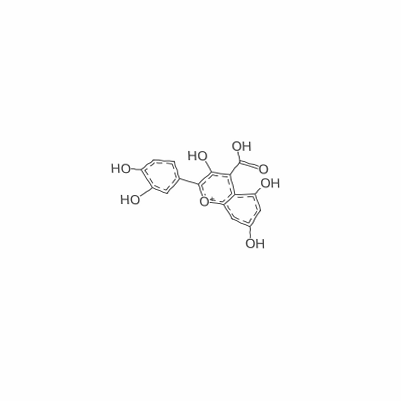 O=C(O)c1c(O)c(-c2ccc(O)c(O)c2)[o+]c2cc(O)cc(O)c12